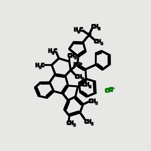 Cc1cc2c(c(C)c1C)C(C)c1c3c(c4ccccc4c1-2)C(C)C(C)C(C)[C]3(C)[Zr+2]([C]1=CC([Si](C)(C)C)=CC1)=[C](c1ccccc1)c1ccccc1.[Cl-].[Cl-]